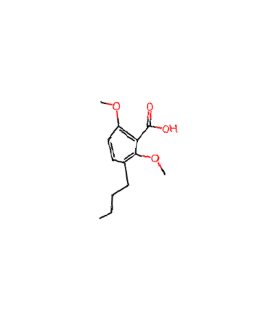 CCCCc1ccc(OC)c(C(=O)O)c1OC